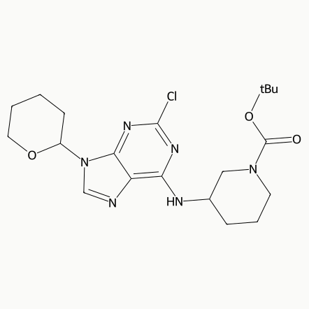 CC(C)(C)OC(=O)N1CCCC(Nc2nc(Cl)nc3c2ncn3C2CCCCO2)C1